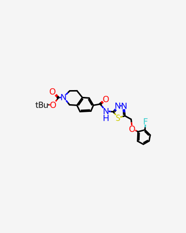 CC(C)(C)OC(=O)N1CCc2cc(C(=O)Nc3nnc(COc4ccccc4F)s3)ccc2C1